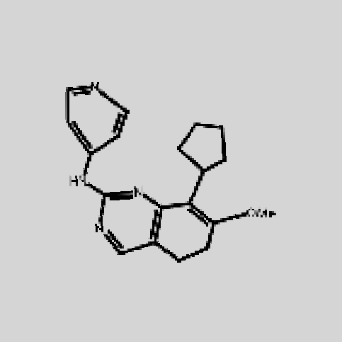 COC1=C(C2CCCC2)c2nc(Nc3ccncc3)ncc2CC1